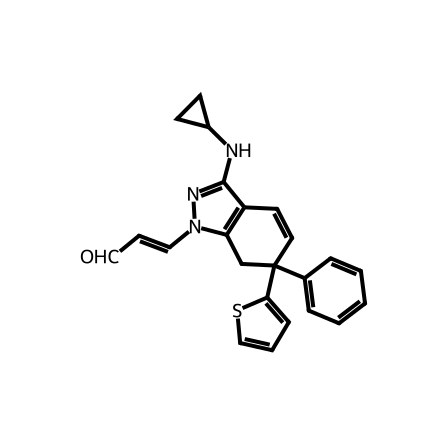 O=CC=Cn1nc(NC2CC2)c2c1CC(c1ccccc1)(c1cccs1)C=C2